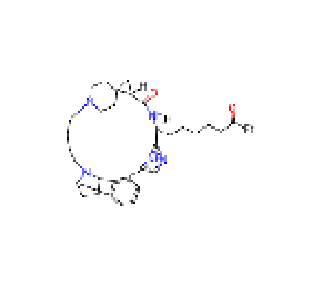 CCC(=O)CCCCC[C@@H]1NC(=O)[C@H]2CC23CCN(CCCCN2C4CCC2c2c(cccc24)-c2cnc1[nH]2)CC3